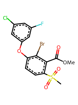 COC(=O)c1c(S(C)(=O)=O)ccc(Oc2cc(F)cc(Cl)c2)c1Br